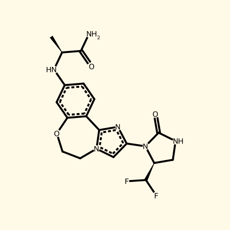 C[C@H](Nc1ccc2c(c1)OCCn1cc(N3C(=O)NC[C@H]3C(F)F)nc1-2)C(N)=O